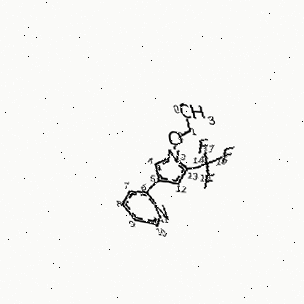 CCOn1cc(-c2ccccn2)cc1C(F)(F)F